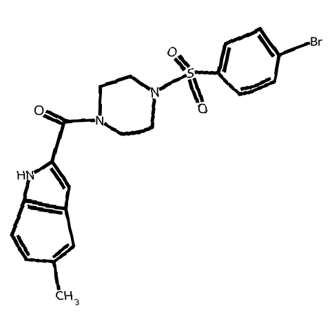 Cc1ccc2[nH]c(C(=O)N3CCN(S(=O)(=O)c4ccc(Br)cc4)CC3)cc2c1